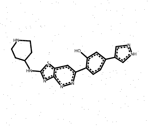 Oc1cc(-c2cn[nH]c2)ccc1-c1cc2sc(NC3CCNCC3)nc2nn1